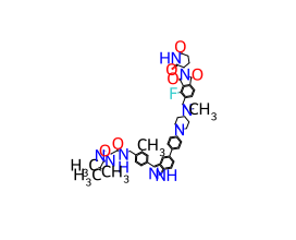 Cc1cc(-c2n[nH]c3ccc(-c4ccc(N5CCC(N(C)Cc6ccc7c(c6F)C(=O)N(C6CCC(=O)NC6=O)C7=O)CC5)cc4)cc23)ccc1CNC(=O)c1nc(C(C)(C)C)no1